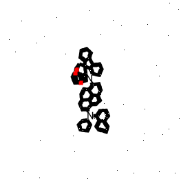 c1ccc(N(c2cccc3c2C2(c4ccccc4-3)C3CC4CC(C3)CC2C4)c2ccc3ccc4c(N(c5ccccc5)c5cccc6ccccc56)ccc5ccc2c3c54)cc1